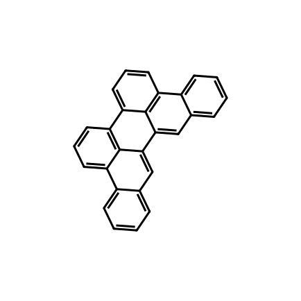 c1ccc2c(c1)cc1c3cc4ccccc4c4cccc(c5cccc2c51)c43